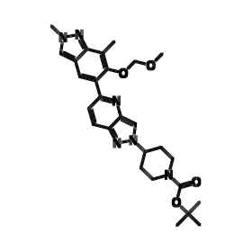 COCOc1c(-c2ccc3nn(C4CCN(C(=O)OC(C)(C)C)CC4)cc3n2)cc2cn(C)nc2c1C